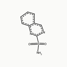 NS(=O)(=O)c1ncc2ccccc2n1